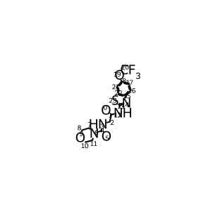 O=C(CNC(=O)N1CCOCC1)Nc1nc2ccc(OC(F)(F)F)cc2s1